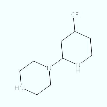 FC(F)(F)C1CCNC(N2CCNCC2)C1